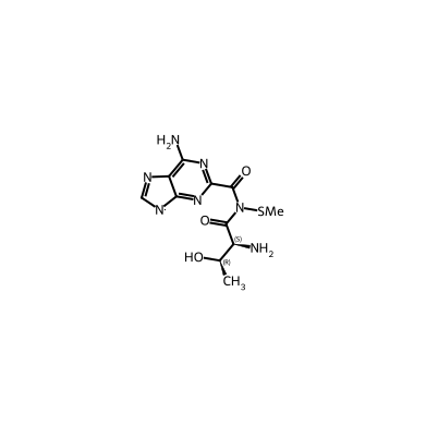 CSN(C(=O)c1nc(N)c2c(n1)[N]C=N2)C(=O)[C@@H](N)[C@@H](C)O